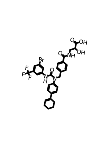 O=C(NCC(O)C(=O)O)c1ccc(CN(C(=O)Nc2cc(Br)cc(C(F)(F)F)c2)c2ccc(C3=CCCCC3)cc2)cc1